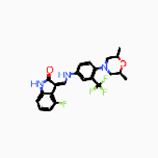 CC1CN(c2ccc(NC=C3C(=O)Nc4cccc(F)c43)cc2C(F)(F)F)CC(C)O1